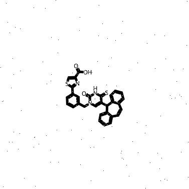 O=C(O)c1csc(-c2cccc(Cn3cc(C4c5ccccc5C=Cc5ccccc54)c(=S)[nH]c3=O)c2)n1